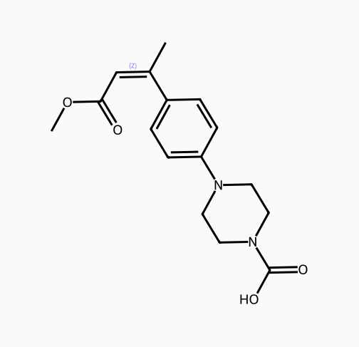 COC(=O)/C=C(/C)c1ccc(N2CCN(C(=O)O)CC2)cc1